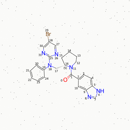 O=C(c1ccc2[nH]cnc2c1)N1CCCC[C@H]1CN(c1ccccc1)c1ncc(Br)cn1